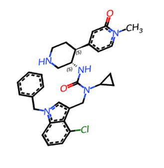 Cn1ccc([C@@H]2CCNC[C@H]2NC(=O)N(Cc2cn(Cc3ccccc3)c3cccc(Cl)c23)C2CC2)cc1=O